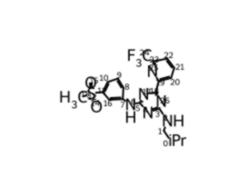 CC(C)CNc1nc(Nc2cccc(S(C)(=O)=O)c2)nc(-c2cccc(C(F)(F)F)n2)n1